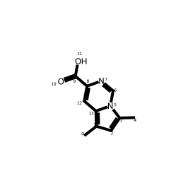 Cc1cc(C)n2cnc(C(=O)O)cc12